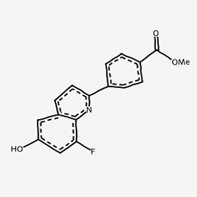 COC(=O)c1ccc(-c2ccc3cc(O)cc(F)c3n2)cc1